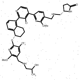 COc1nc(-c2ccnc(-c3cccc4c3CCC[C@@H]4Oc3nc(OC)c(CNCC(C)O)cc3C(F)(F)F)c2Cl)ccc1CNC[C@@H]1CCC(=O)N1